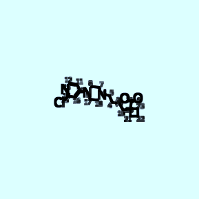 O=C1O[C@H](CCN2CCN(c3ccnc(Cl)c3)CC2)CC12CCC2